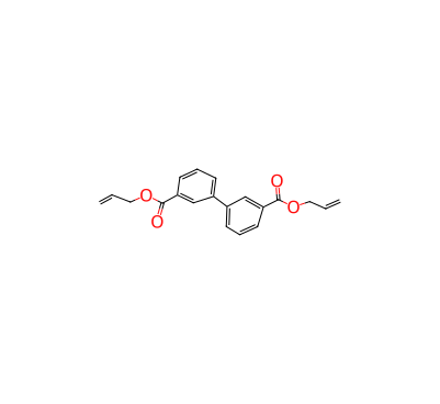 C=CCOC(=O)c1cccc(-c2cccc(C(=O)OCC=C)c2)c1